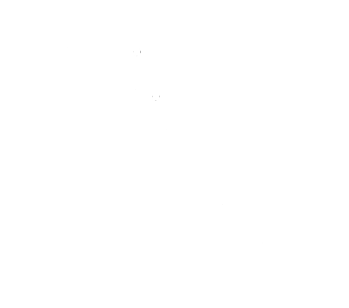 c1ccc2c(-c3c4ccccc4c(-c4ccc(-c5ccc6c(c5)oc5c6ccc6c5oc5ccc7ccccc7c56)cc4)c4ccccc34)cccc2c1